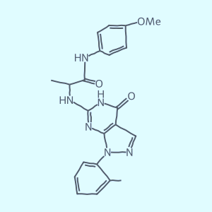 COc1ccc(NC(=O)C(C)Nc2nc3c(cnn3-c3ccccc3C)c(=O)[nH]2)cc1